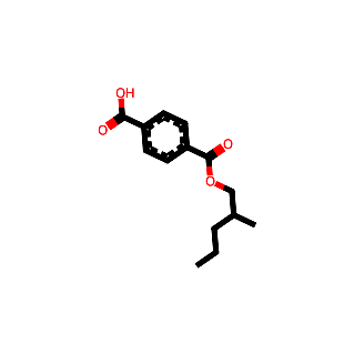 CCCC(C)COC(=O)c1ccc(C(=O)O)cc1